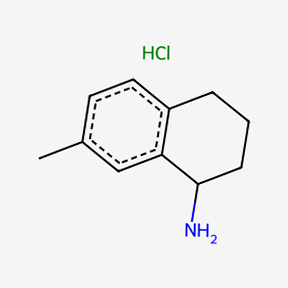 Cc1ccc2c(c1)C(N)CCC2.Cl